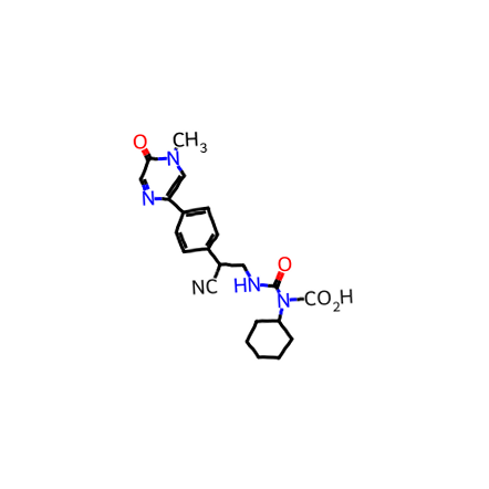 Cn1cc(-c2ccc(C(C#N)CNC(=O)N(C(=O)O)C3CCCCC3)cc2)ncc1=O